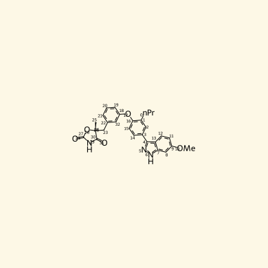 CCCc1cc(-c2n[nH]c3cc(OC)ccc23)ccc1Oc1cccc(C[C@@]2(C)OC(=O)NC2=O)c1